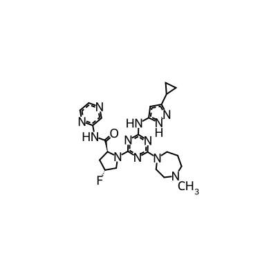 CN1CCCN(c2nc(Nc3cc(C4CC4)n[nH]3)nc(N3C[C@H](F)C[C@H]3C(=O)Nc3cnccn3)n2)CC1